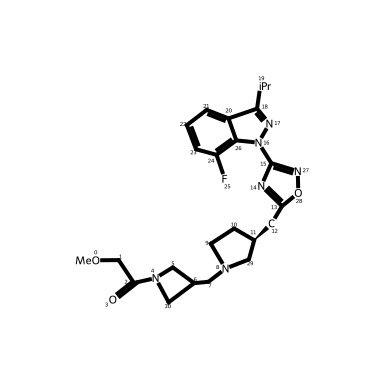 COCC(=O)N1CC(CN2CC[C@@H](Cc3nc(-n4nc(C(C)C)c5cccc(F)c54)no3)C2)C1